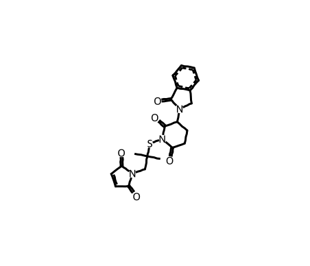 CC(C)(CN1C(=O)C=CC1=O)SN1C(=O)CCC(N2Cc3ccccc3C2=O)C1=O